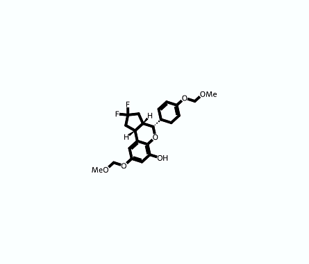 COCOC1=CCC([C@@H]2Oc3c(O)cc(OCOC)cc3[C@@H]3CC(F)(F)C[C@@H]32)C=C1